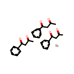 CC(=O)CC(=O)c1ccccc1.CC(=O)CC(=O)c1ccccc1.CC(=O)CC(=O)c1ccccc1.[Tb]